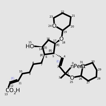 CCCCCC(C)(/C=C/[C@@H]1[C@@H](CCCC/C=C/C(=O)O)[C@@H](O)C[C@H]1OC1CCCCO1)OC1CCCCO1